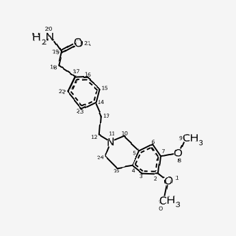 COc1cc2c(cc1OC)CN(CCc1ccc(CC(N)=O)cc1)CC2